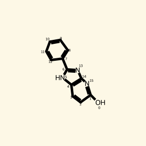 Oc1ccc2[nH]c(-c3ccccc3)nc2n1